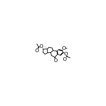 COc1cc2c(cc1OC(C)=O)C(=O)CC1C2CC[C@@]2(C)C1CC[C@@H]2OC(C)=O